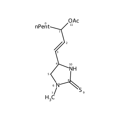 CCCCCC(/C=C/C1CN(C)C(=S)N1)OC(C)=O